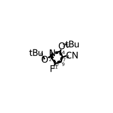 CC(C)(C)Oc1nc(OC(C)(C)C)c(C#N)cc1F